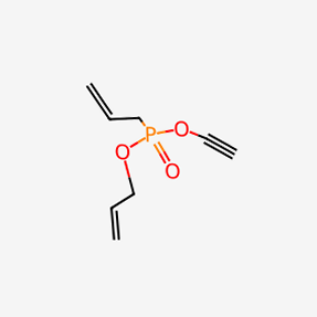 C#COP(=O)(CC=C)OCC=C